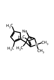 CC1=CC(C)=C(C2(C)[C]([Na])=C3C(C)=C2[Si]3(C)C)C1